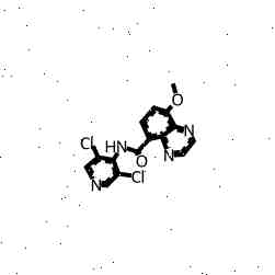 COc1ccc(C(=O)Nc2c(Cl)cncc2Cl)c2nccnc12